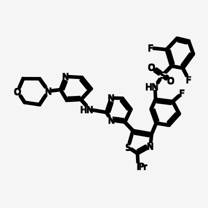 CC(C)c1nc(-c2ccc(F)c(NS(=O)(=O)c3c(F)cccc3F)c2)c(-c2ccnc(Nc3ccnc(N4CCOCC4)c3)n2)s1